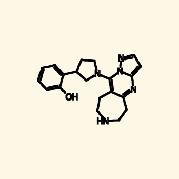 Oc1ccccc1C1CCN(c2c3c(nc4ccnn24)CCNCC3)C1